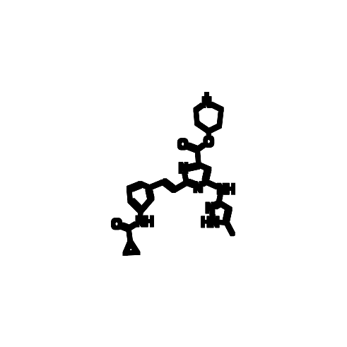 Cc1cc(Nc2cc(C(=O)OC3CCN(C)CC3)nc(/C=C/c3cccc(NC(=O)C4CC4)c3)n2)n[nH]1